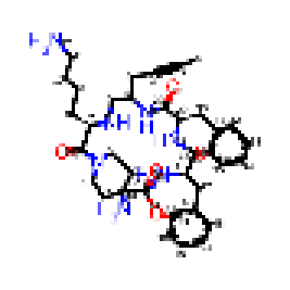 CC#CCC(CN[C@H](CCCCN)C(=O)N1CCC(N)(C(=O)OC)CC1)NC(=O)[C@@H](Cc1ccccc1)NC(=O)[C@H](N)Cc1ccccc1